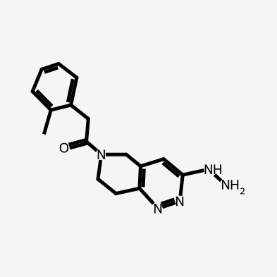 Cc1ccccc1CC(=O)N1CCc2nnc(NN)cc2C1